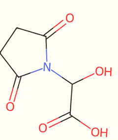 O=C(O)C(O)N1C(=O)CCC1=O